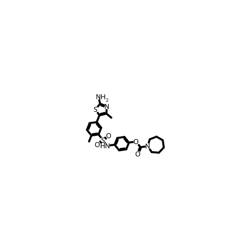 Cc1ccc(-c2sc(N)nc2C)cc1S(=O)(=O)Nc1ccc(OC(=O)N2CCCCCC2)cc1